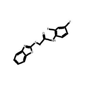 O=C(CSc1nc2ccccc2o1)Nc1ccc(F)cc1F